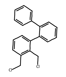 ClCc1cccc(-c2ccccc2-c2ccccc2)c1CCl